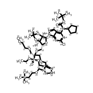 CCOP(=O)(OCC)[C@](COCCOC)(COCc1n[nH]n[n+]1COCC[Si](C)(C)C)OC[C@H]1O[C@@H](n2ncc3c(N(C(=O)OC(C)(C)C)C4CCCC4)nc(Cl)nc32)[C@@H]2OC(C)(C)O[C@@H]21